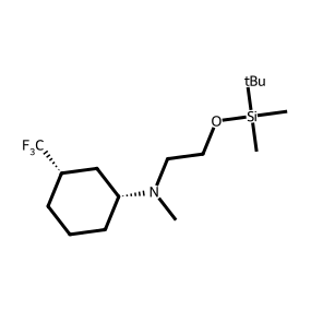 CN(CCO[Si](C)(C)C(C)(C)C)[C@@H]1CCC[C@H](C(F)(F)F)C1